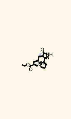 CCOC(=O)c1c[nH]c(/C=C2/C(=O)NN=C2c2cccs2)c1